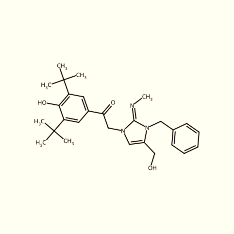 C/N=c1/n(CC(=O)c2cc(C(C)(C)C)c(O)c(C(C)(C)C)c2)cc(CO)n1Cc1ccccc1